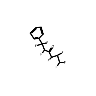 O=C(C(F)C(F)C(F)F)C(F)C(F)(F)c1ccccc1